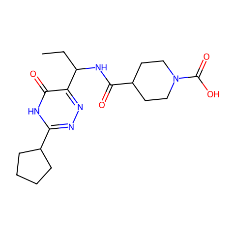 CCC(NC(=O)C1CCN(C(=O)O)CC1)c1nnc(C2CCCC2)[nH]c1=O